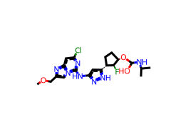 COCc1cn2c(Nc3cc([C@@H]4CC[C@H](OC(O)NC(C)C)[C@H]4F)[nH]n3)nc(Cl)cc2n1